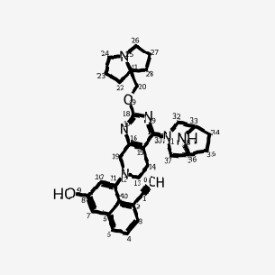 C#Cc1cccc2cc(O)cc(N3CCc4c(nc(OCC56CCCN5CCC6)nc4N4CC5CCC(C4)N5)C3)c12